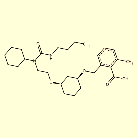 CCCCNC(=O)N(CCO[C@@H]1CCC[C@H](OCc2cccc(C)c2C(=O)O)C1)C1CCCCC1